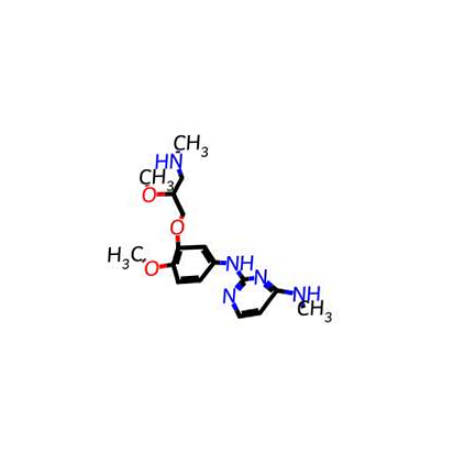 CNCC(COc1cc(Nc2nccc(NC)n2)ccc1OC)OC